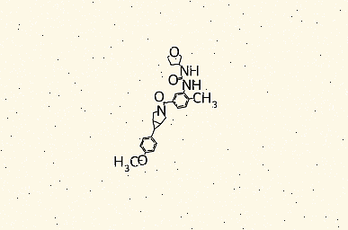 COc1ccc(C2C3CN(C(=O)c4ccc(C)c(NC(=O)NC5CCOC5)c4)CC32)cc1